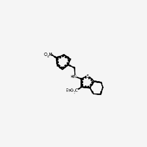 CCOC(=O)c1c(NCc2ccc([N+](=O)[O-])cc2)sc2c1CCCC2